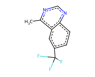 Cc1ncnc2ccc(C(F)(F)F)cc12